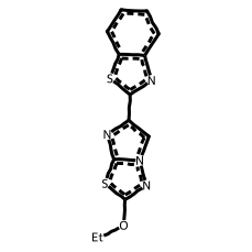 CCOc1nn2cc(-c3nc4ccccc4s3)nc2s1